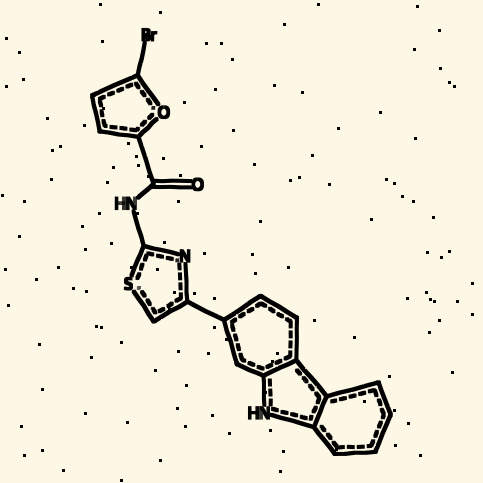 O=C(Nc1nc(-c2ccc3c(c2)[nH]c2ccccc23)cs1)c1ccc(Br)o1